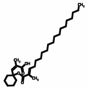 CCCCCCCCCCCCCCCCC=C(C)C(=O)OC1(C=C(C)C(=O)O)CCCCC1